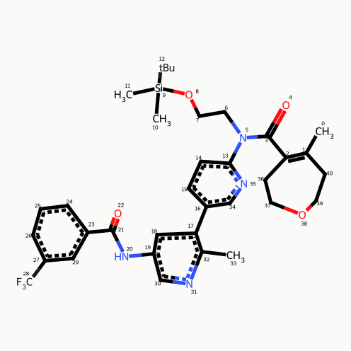 CC1=C(C(=O)N(CCO[Si](C)(C)C(C)(C)C)c2ccc(-c3cc(NC(=O)c4cccc(C(F)(F)F)c4)cnc3C)cn2)CCOCC1